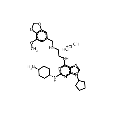 COc1cc(CNCCNc2nc(N[C@H]3CC[C@H](N)CC3)nc3c2ncn3C2CCCC2)cc2c1OCO2.Cl.Cl.Cl